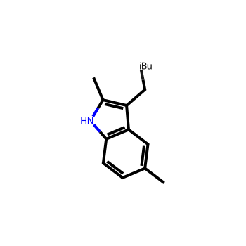 CCC(C)Cc1c(C)[nH]c2ccc(C)cc12